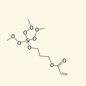 C=CC(=O)OCCCO[Si](OOC)(OOC)OOC